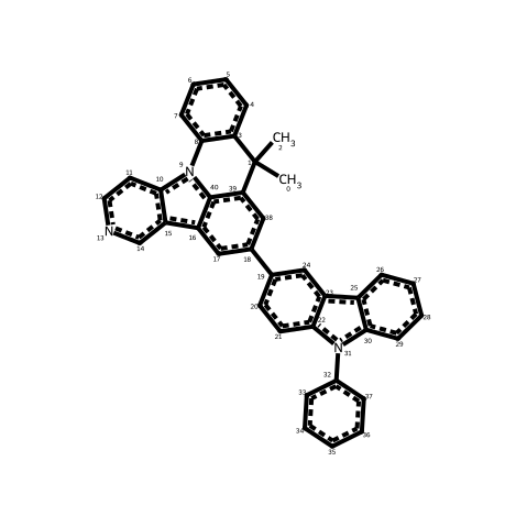 CC1(C)c2ccccc2-n2c3ccncc3c3cc(-c4ccc5c(c4)c4ccccc4n5-c4ccccc4)cc1c32